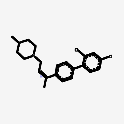 C/C(=C/CN1CCC(C)CC1)c1ccc(-c2ccc(Cl)cc2Cl)cc1